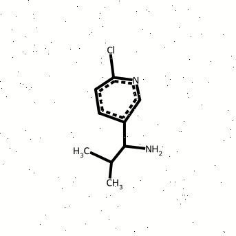 CC(C)C(N)c1ccc(Cl)nc1